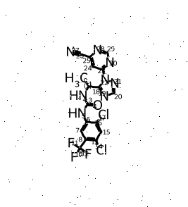 C[C@H](NC(=O)Nc1cc(C(F)(F)F)c(Cl)cc1Cl)c1ncnn1-c1cc(C#N)ncn1